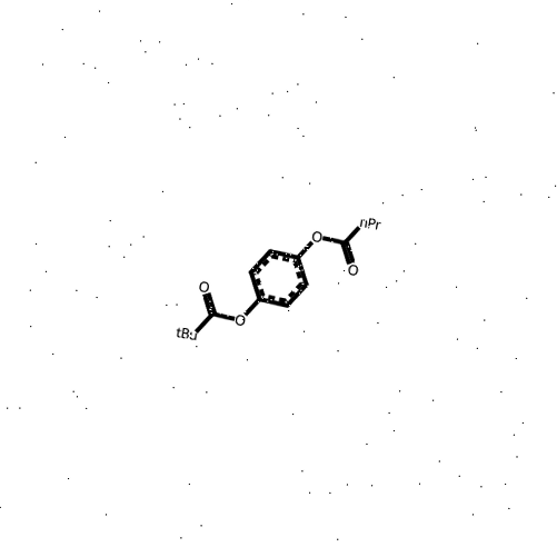 CCCC(=O)Oc1ccc(OC(=O)C(C)(C)C)cc1